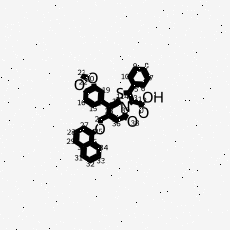 O=C(O)C1C(c2ccccc2)Sc2c(-c3ccc4c(c3)OCO4)c(COc3cccc4ccccc34)cc(=O)n21